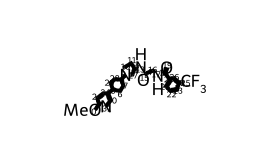 COc1ccc(C2CCC(N3CC[C@@H](NC(=O)CNC(=O)c4cccc(C(F)(F)F)c4)C3)CC2)cn1